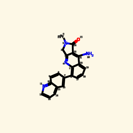 CCCN1Cc2nc3c(-c4ccc5ncccc5c4)cccc3c(N)c2C1=O